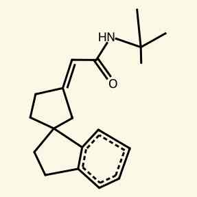 CC(C)(C)NC(=O)C=C1CCC2(CCc3ccccc32)C1